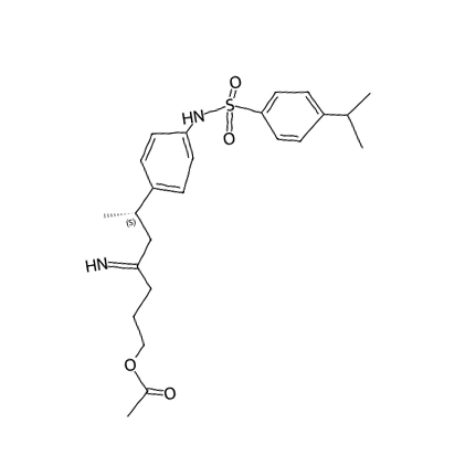 CC(=O)OCCCC(=N)C[C@H](C)c1ccc(NS(=O)(=O)c2ccc(C(C)C)cc2)cc1